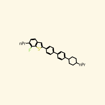 CCCc1ccc2cc(-c3ccc(-c4ccc(C5CCC(CCC)CC5)cc4)cc3)sc2c1F